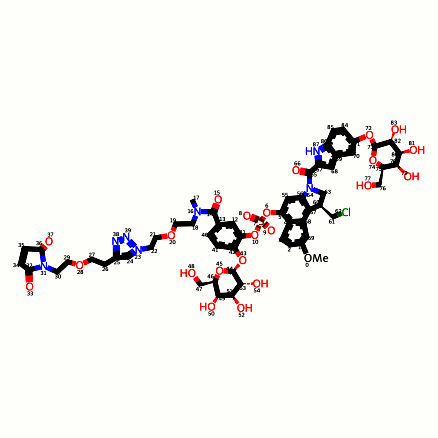 COc1ccc2c(OS(=O)(=O)Oc3cc(C(=O)N(C)CCOCCn4cc(CCOCCN5C(=O)C=CC5=O)nn4)ccc3O[C@@H]3O[C@H](CO)[C@H](O)[C@H](O)[C@H]3O)cc3c(c2c1)[C@H](CCl)CN3C(=O)c1cc2cc(OC3O[C@H](CO)[C@H](O)[C@H](O)[C@H]3O)ccc2[nH]1